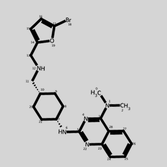 CN(C)c1nc(N[C@H]2CC[C@@H](CNCc3ccc(Br)o3)CC2)nc2ccccc12